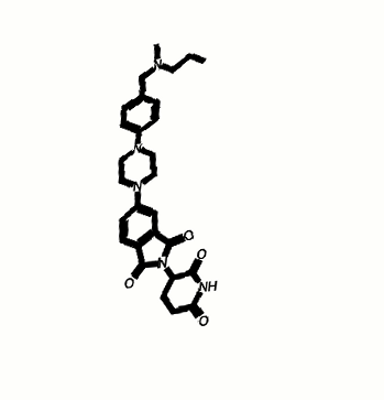 CCCN(C)Cc1ccc(N2CCN(c3ccc4c(c3)C(=O)N(C3CCC(=O)NC3=O)C4=O)CC2)cc1